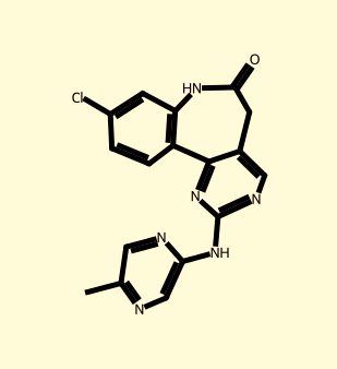 Cc1cnc(Nc2ncc3c(n2)-c2ccc(Cl)cc2NC(=O)C3)cn1